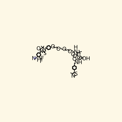 C/N=C\c1ccc(N2C(=O)C(C)(C)N(c3ccc(OCCOCCOCCOCC(=O)N[C@H](C(=O)N4C[C@H](O)C[C@H]4C(=O)NCc4ccc(-c5scnc5C)cc4)C(C)(C)C)cc3)C2=S)cc1C(F)(F)F